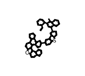 C=Cc1ccccc1-c1cc(-c2ccc3sc4ccc(-c5ccc6c(c5)c5ccccc5c5ccc7oc8ccc9ccccc9c8c7c56)cc4c3c2)c2ccccc2c1C